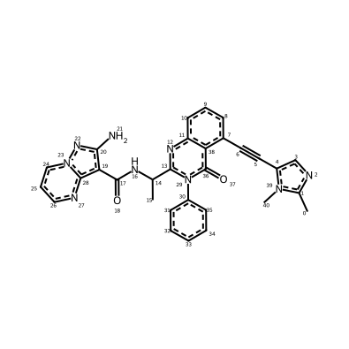 Cc1ncc(C#Cc2cccc3nc(C(C)NC(=O)c4c(N)nn5cccnc45)n(-c4ccccc4)c(=O)c23)n1C